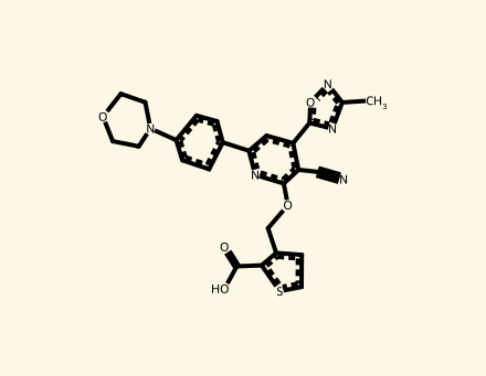 Cc1noc(-c2cc(-c3ccc(N4CCOCC4)cc3)nc(OCc3ccsc3C(=O)O)c2C#N)n1